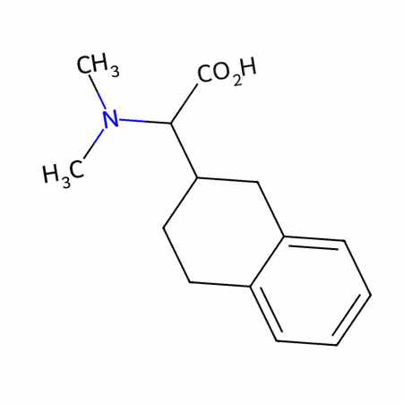 CN(C)C(C(=O)O)C1CCc2ccccc2C1